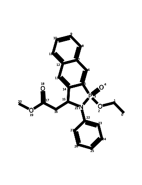 CCOP1(=O)c2cc3ccccc3cc2C(CC(=O)OC)N1c1ccccc1